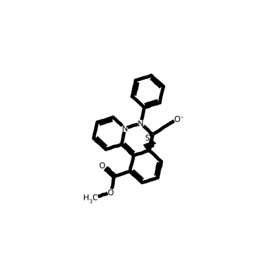 COC(=O)C1=CC=CC23C=C[S+]([O-])C2N(c2ccccc2)N2C=CC=CC2=C13